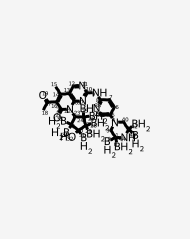 BC1(B)CN(c2ccc(Nc3ncc4c(C)c(C(C)=O)c(=O)n(C5C(B)(B)C(B)(B)C(B)(O)C5(B)B)c4n3)nc2)CC(B)(B)N1